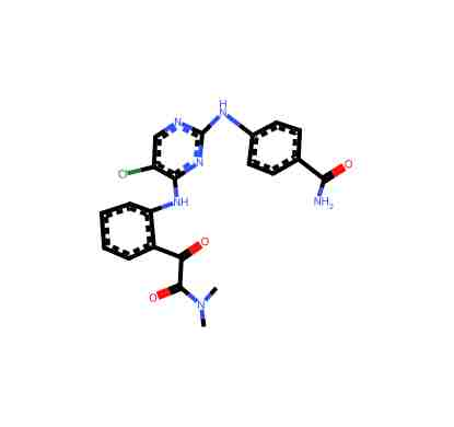 CN(C)C(=O)C(=O)c1ccccc1Nc1nc(Nc2ccc(C(N)=O)cc2)ncc1Cl